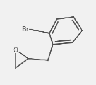 Brc1ccccc1CC1CO1